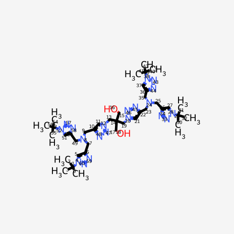 CC(C)(C)n1cc(CN(Cc2cn(CC(CO)(CO)Cn3cc(CN(Cc4cn(C(C)(C)C)nn4)Cc4cn(C(C)(C)C)nn4)nn3)nn2)Cc2cn(C(C)(C)C)nn2)nn1